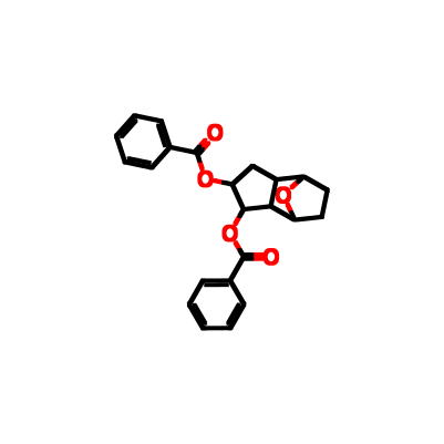 O=C(OC1CC2C3CCC(O3)C2C1OC(=O)c1ccccc1)c1ccccc1